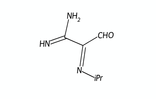 CC(C)/N=C(\C=O)C(=N)N